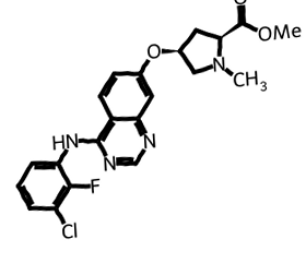 COC(=O)[C@@H]1C[C@H](Oc2ccc3c(Nc4cccc(Cl)c4F)ncnc3c2)CN1C